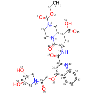 CCOC(=O)N1CCN(C(=O)[C@H](CCC(=O)O)NC(=O)c2cc(OCC(=O)N3C[C@@H](O)[C@H](O)C3)c3ccccc3n2)CC1